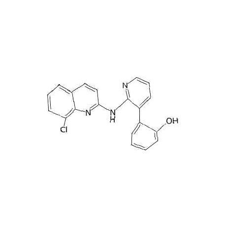 Oc1ccccc1-c1cccnc1Nc1ccc2cccc(Cl)c2n1